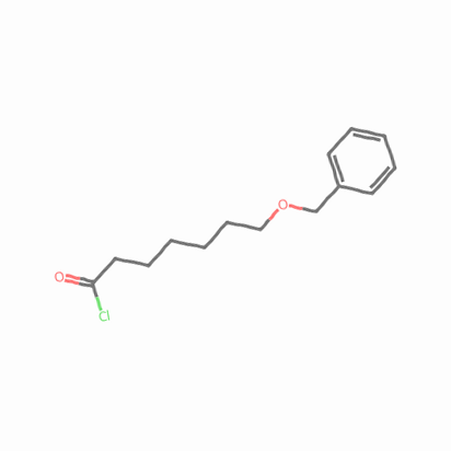 O=C(Cl)CCCCCCOCc1ccccc1